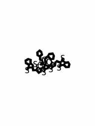 O=C(OCc1ccccc1)C1(C(=O)OCc2ccccc2)c2c(sc3cc(C=C4C(=S)c5ccccc5C4=S)sc23)-c2sc3cc(C=C4C(=S)c5ccccc5C4=S)sc3c21